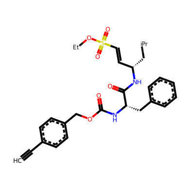 C#Cc1ccc(COC(=O)N[C@@H](Cc2ccccc2)C(=O)N[C@H](/C=C/S(=O)(=O)OCC)CC(C)C)cc1